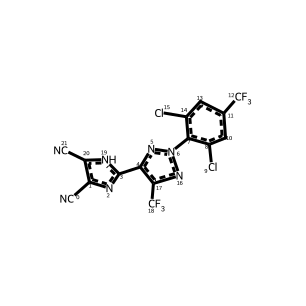 N#Cc1nc(-c2nn(-c3c(Cl)cc(C(F)(F)F)cc3Cl)nc2C(F)(F)F)[nH]c1C#N